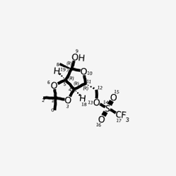 CC1(C)O[C@H]2[C@@H](O1)[C@](C)(O)O[C@@H]2COS(=O)(=O)C(F)(F)F